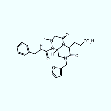 CN1CC(=O)N2[C@@H](CCC(=O)O)C(=O)N(Cc3ccco3)C[C@@H]2N1C(=O)NCc1ccccc1